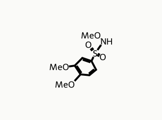 CONS(=O)(=O)c1ccc(OC)c(OC)c1